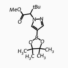 COC(=O)C(n1cc(B2OC(C)(C)C(C)(C)O2)cn1)C(C)(C)C